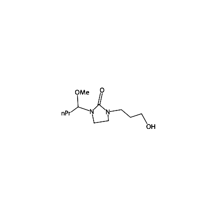 CCCC(OC)N1CCN(CCCO)C1=O